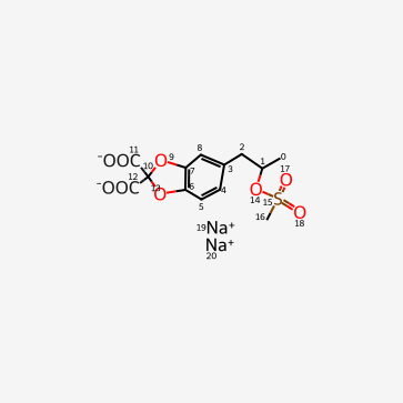 CC(Cc1ccc2c(c1)OC(C(=O)[O-])(C(=O)[O-])O2)OS(C)(=O)=O.[Na+].[Na+]